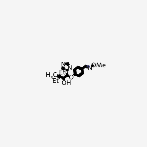 CCC(C)(CC)C(O)C(Oc1ccc(/C=N/OC)cc1)n1cncn1